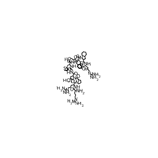 NC(N)=NCCCC(N)C(=O)NC(CCCN=C(N)N)C(=O)N1CCCC1C(=O)N1C[C@@H](O)CC1C(=O)NCC(=O)NC(Cc1cccs1)C(=O)NC(CO)C(=O)N1Cc2ccccc2CC1C(=O)N1C(C(=O)NC(CCCN=C(N)N)C(=O)O)CC2CCCCC21